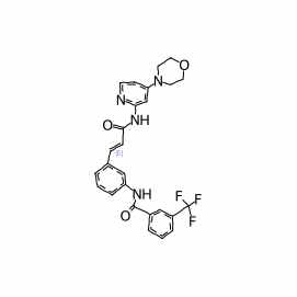 O=C(/C=C/c1cccc(NC(=O)c2cccc(C(F)(F)F)c2)c1)Nc1cc(N2CCOCC2)ccn1